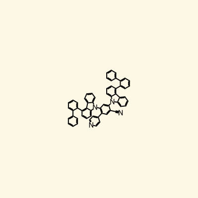 N#Cc1cc(-c2ccncc2)c(-n2c3ccccc3c3c(-c4ccccc4-c4ccccc4)cccc32)cc1-n1c2ccccc2c2c(-c3ccccc3-c3ccccc3)cccc21